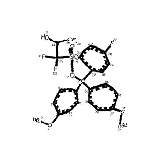 CCCCOc1ccc(S(OS(=O)(=O)C(F)(F)C(O)C(F)(F)F)(c2ccc(F)cc2)c2ccc(OCCCC)cc2)cc1